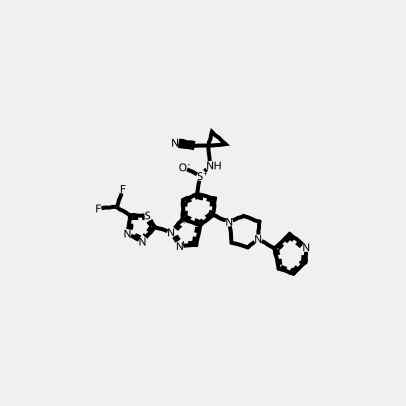 N#CC1(N[S+]([O-])c2cc(N3CCN(c4cccnc4)CC3)c3cnn(-c4nnc(C(F)F)s4)c3c2)CC1